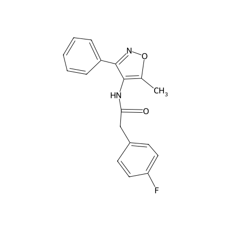 Cc1onc(-c2ccccc2)c1NC(=O)Cc1ccc(F)cc1